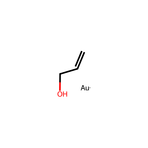 C=CCO.[Au]